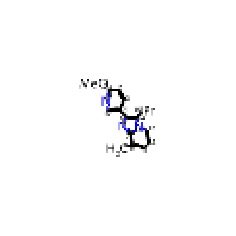 COc1ccc(-c2nc3c(C)cccn3c2C(C)C)cn1